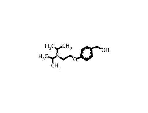 CC(C)N(CCOc1ccc(CO)cc1)C(C)C